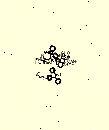 CC/C(=C(\c1ccccc1)c1ccc(OCCN(C)C)cc1)c1ccccc1.CC[C@]1(O)C[C@H]2C[N@](CCc3c([nH]c4ccccc34)[C@@](C(=O)OC)(c3cc4c(cc3OC)N(C=O)[C@H]3[C@@](O)(C(=O)OC)[C@H](OC(C)=O)[C@]5(CC)C=CCN6CC[C@]43[C@@H]65)C2)C1